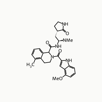 CN[C@H](C[C@@H]1CCNC1=O)NC(=O)C1c2cccc(C)c2CCN1C(=O)c1cc2c(OC)cccc2[nH]1